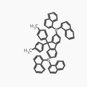 Cc1ccc(C2(c3ccc(C)cc3)c3cc(B(c4cccc5ccccc45)c4cccc5ccccc45)ccc3-c3ccc(B(c4cccc5ccccc45)c4cccc5ccccc45)cc32)cc1